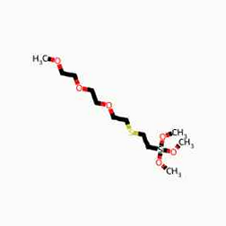 COCCOCCOCCSCC[Si](OC)(OC)OC